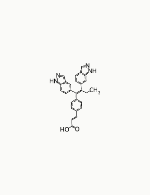 CCC(=C(c1ccc(C=CC(=O)O)cc1)c1ccc2[nH]ncc2c1)c1ccc2cn[nH]c2c1